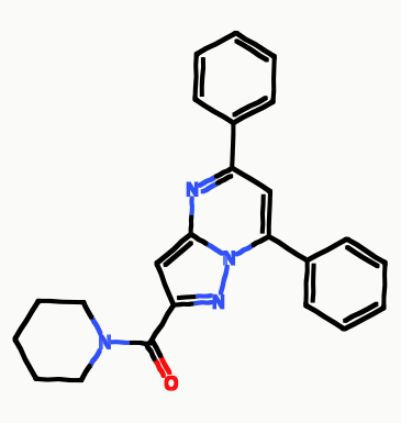 O=C(c1cc2nc(-c3ccccc3)cc(-c3ccccc3)n2n1)N1CCCCC1